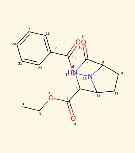 CCOC(=O)C1NC(=O)C2CCC1N2OC(=O)c1ccccc1